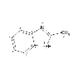 CC1=Nc2ccccc2B1